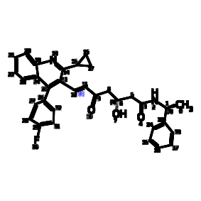 C[C@H](NC(=O)C[C@H](O)CC(=O)/C=C/c1c(C2CC2)nc2ccccc2c1-c1ccc(F)cc1)c1ccccc1